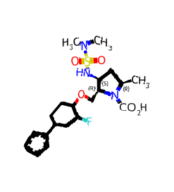 C[C@@H]1C[C@H](NS(=O)(=O)N(C)C)[C@H](COC2CCC(c3ccccc3)CC2F)N1C(=O)O